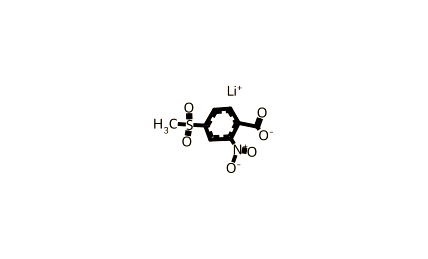 CS(=O)(=O)c1ccc(C(=O)[O-])c([N+](=O)[O-])c1.[Li+]